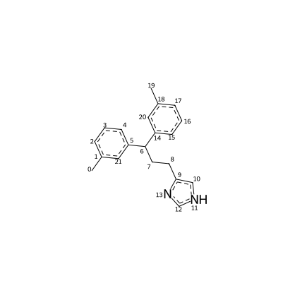 Cc1cccc(C(CCc2c[nH]cn2)c2cccc(C)c2)c1